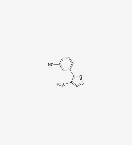 N#Cc1cccc(-c2nscc2C(=O)O)c1